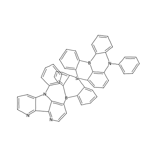 c1ccc(N2c3ccccc3B3c4ccccc4[Si]4(c5ccccc5B(c5ccnc6c7ncccc7n(-c7ccccc7)c56)c5ccccc54)c4cccc2c43)cc1